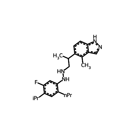 CCCc1cc(C(C)C)c(F)cc1NNCC(C)c1ccc2[nH]ncc2c1C